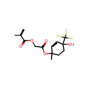 C=C(C)C(=O)OCC(=O)OC1(C)C=CC(O)(C(F)(F)F)CC1